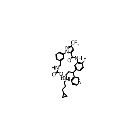 CC(C)(C)OC(=O)NCc1cccc(-n2nc(C(F)(F)F)cc2C(=O)Nc2cc(C(CCNCCCC3CC3)c3cccnc3)ccc2F)c1